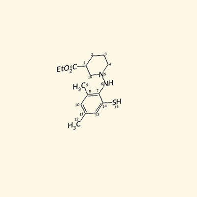 CCOC(=O)C1CCCN(Nc2c(C)cc(C)cc2S)C1